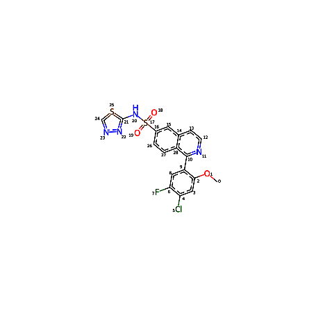 COc1cc(Cl)c(F)cc1-c1nccc2cc(S(=O)(=O)Nc3nncs3)ccc12